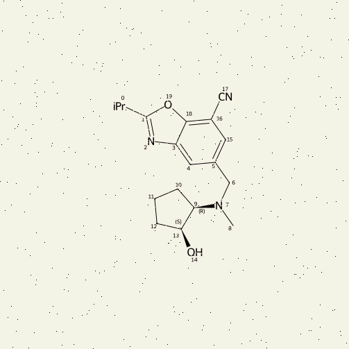 CC(C)c1nc2cc(CN(C)[C@@H]3CCC[C@@H]3O)cc(C#N)c2o1